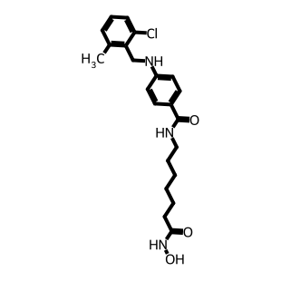 Cc1cccc(Cl)c1CNc1ccc(C(=O)NCCCCCCC(=O)NO)cc1